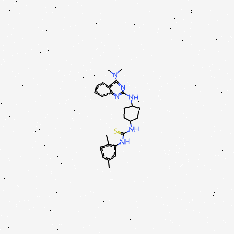 Cc1ccc(C)c(NC(=S)NC2CCC(Nc3nc(N(C)C)c4ccccc4n3)CC2)c1